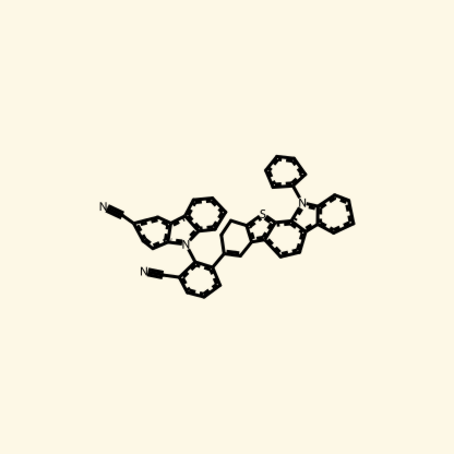 N#Cc1ccc2c(c1)c1ccccc1n2-c1c(C#N)cccc1C1=Cc2c(sc3c2ccc2c4ccccc4n(-c4ccccc4)c23)CC1